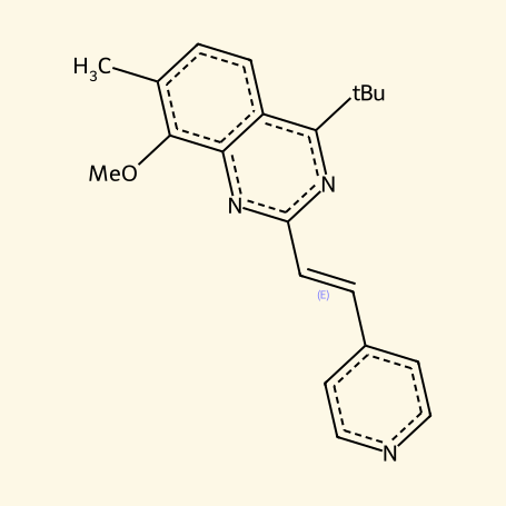 COc1c(C)ccc2c(C(C)(C)C)nc(/C=C/c3ccncc3)nc12